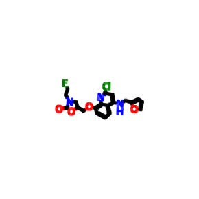 O=C1OC(COc2cccc3c(NCc4ccco4)cc(Cl)nc23)CN1CCF